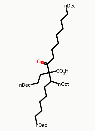 CCCCCCCCCCCCCCCCCC(=O)C(CCCCCCCCCCCC)(C(=O)O)C(CCCCCCCC)CCCCCCCCCCCCCCC